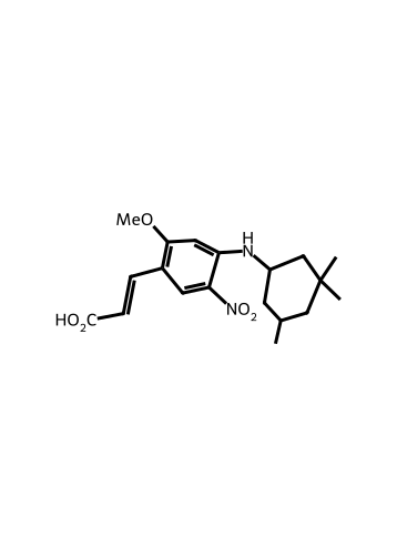 COc1cc(NC2CC(C)CC(C)(C)C2)c([N+](=O)[O-])cc1C=CC(=O)O